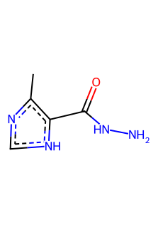 Cc1nc[nH]c1C(=O)NN